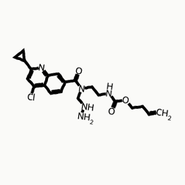 C=CCCOC(=O)NCCN(CNN)C(=O)c1ccc2c(Cl)cc(C3CC3)nc2c1